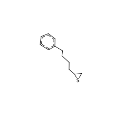 c1ccc(CCCCC2CS2)cc1